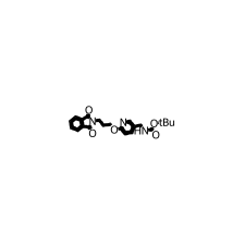 CC(C)(C)OC(=O)NCc1ccc(OCCCN2C(=O)c3ccccc3C2=O)nc1